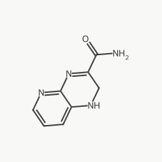 NC(=O)C1=Nc2ncccc2NC1